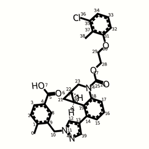 Cc1ccc(C(=O)O)cc1Cn1cc(-c2cccc3c2[C@H]2C[C@H]2CN3C(=O)OCCOc2cccc(Cl)c2C)cn1